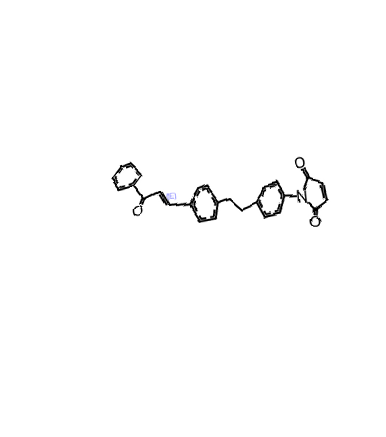 O=C(/C=C/c1ccc(CCc2ccc(N3C(=O)C=CC3=O)cc2)cc1)c1ccccc1